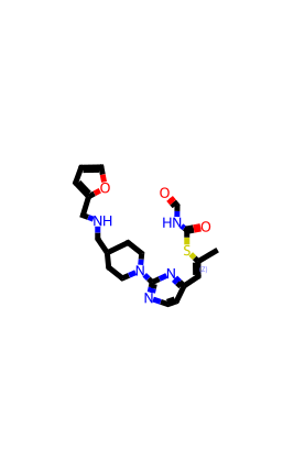 C/C(=C/c1ccnc(N2CCC(CNCc3ccco3)CC2)n1)SC(=O)NC=O